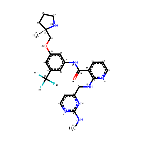 CNc1nccc(CNc2ncccc2C(=O)Nc2cc(OC[C@@]3(C)CCCN3)cc(C(F)(F)F)c2)n1